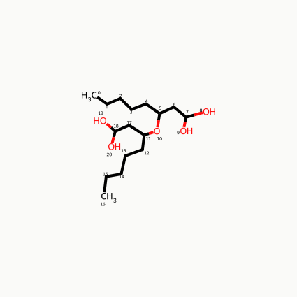 CCCCCC(CC(O)O)OC(CCCCC)CC(O)O